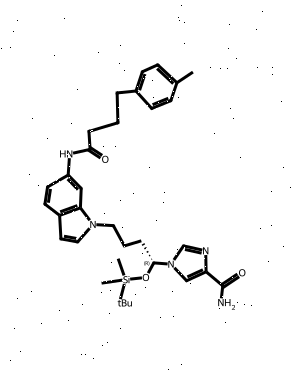 Cc1ccc(CCCC(=O)Nc2ccc3ccn(CCC[C@@H](O[Si](C)(C)C(C)(C)C)n4cnc(C(N)=O)c4)c3c2)cc1